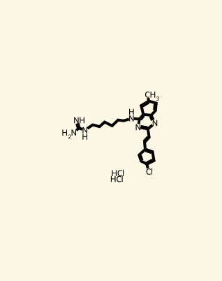 Cc1ccc2nc(C=Cc3ccc(Cl)cc3)nc(NCCCCCCNC(=N)N)c2c1.Cl.Cl